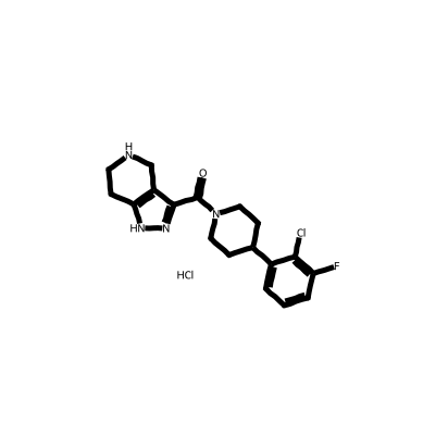 Cl.O=C(c1n[nH]c2c1CNCC2)N1CCC(c2cccc(F)c2Cl)CC1